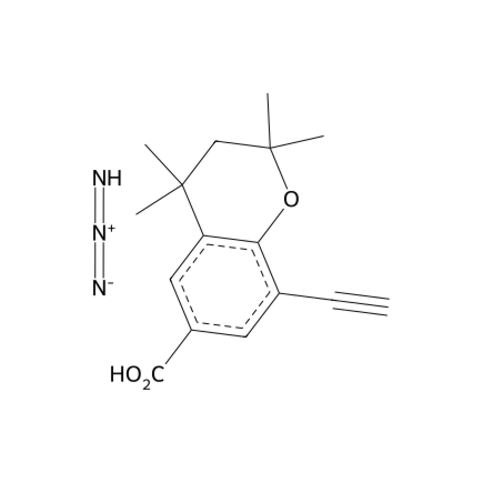 C#Cc1cc(C(=O)O)cc2c1OC(C)(C)CC2(C)C.[N-]=[N+]=N